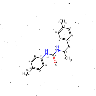 Cc1ccc(CC(C)NC(=O)Nc2ccc(C)cc2)cc1